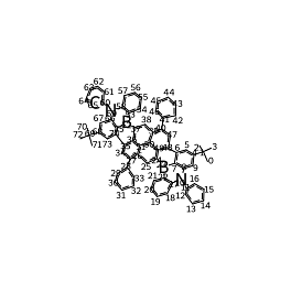 CC(C)(C)c1cc2c3c(c1)N(c1ccccc1)c1ccccc1B3c1cc3c(-c4ccccc4)cc4c5c(cc6c(-c7ccccc7)cc-2c1c6c35)B1c2ccccc2N(c2ccccc2)c2cc(C(C)(C)C)cc-4c21